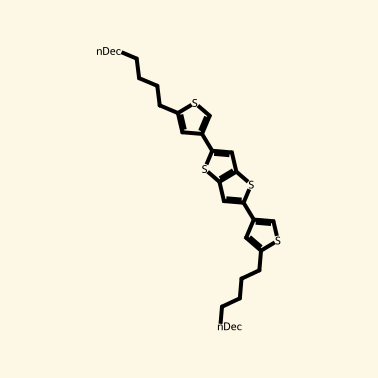 CCCCCCCCCCCCCCc1cc(-c2cc3sc(-c4csc(CCCCCCCCCCCCCC)c4)cc3s2)cs1